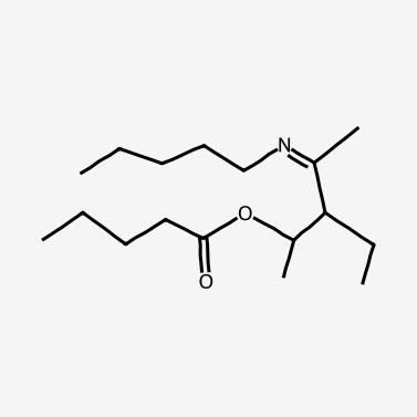 CCCCCN=C(C)C(CC)C(C)OC(=O)CCCC